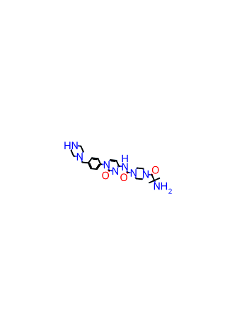 CC(C)(N)C(=O)N1CCN(C(=O)Nc2ccn(-c3ccc(CN4CCNCC4)cc3)c(=O)n2)CC1